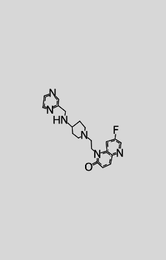 O=c1ccc2ncc(F)cc2n1CCN1CCC(NCc2cnccn2)CC1